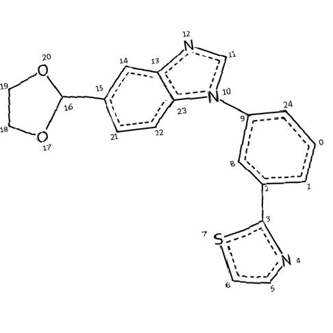 c1cc(-c2nccs2)cc(-n2cnc3cc(C4OCCO4)ccc32)c1